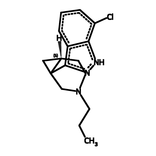 CCCN1CC[C@@H]2CC2(c2n[nH]c3c(Cl)cccc23)C1